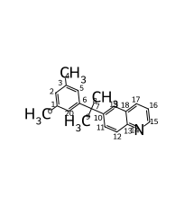 Cc1cc(C)cc(C(C)(C)c2ccc3ncccc3c2)c1